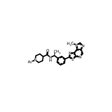 CC(=O)N1CCC(C(=O)N[C@@H](C)c2cccc(-c3nc4c(ncc5ncn(C)c54)s3)c2)CC1